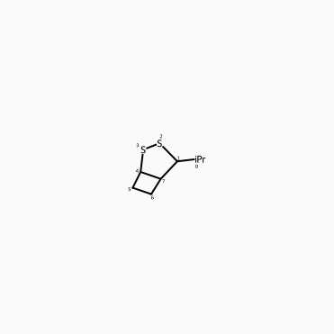 CC(C)C1SSC2CCC21